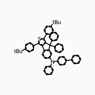 CC(C)(C)c1ccc(-c2sc(-c3ccc(C(C)(C)C)cc3)c3c2-c2ccc(N(c4ccccc4)c4ccc(-c5ccccc5)cc4)cc2C3(c2ccccc2)c2ccccc2)cc1